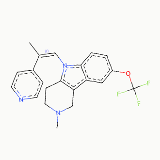 C/C(=C/n1c2c(c3cc(OC(F)(F)F)ccc31)CN(C)CC2)c1ccncc1